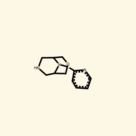 c1ccc(CN2C3CNCC2COC3)nc1